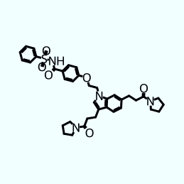 O=C(NS(=O)(=O)c1ccccc1)c1ccc(OCCn2cc(CCC(=O)N3CCCC3)c3ccc(CCC(=O)N4CCCC4)cc32)cc1